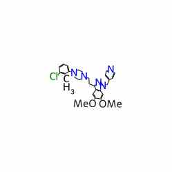 COc1cc2c(CCN3CCN(c4cccc(Cl)c4C)CC3)nn(Cc3ccncc3)c2cc1OC